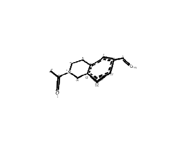 CC(=O)N1CCc2cc(C=O)ccc2C1